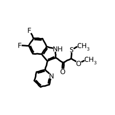 COC(SC)C(=O)c1[nH]c2cc(F)c(F)cc2c1-c1ccccn1